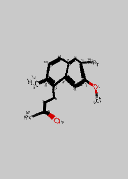 CCOc1cc2c(CCC(=O)C(C)C)c(C)ccc2cc1C(C)C